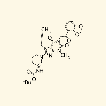 CC#CCn1c(N2CCC[C@@H](NC(=O)OC(C)(C)C)C2)nc2c1c(=O)n(CC(=O)c1cccc3c1OCO3)c(=O)n2C